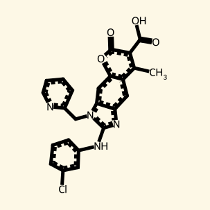 Cc1c(C(=O)O)c(=O)oc2cc3c(cc12)nc(Nc1cccc(Cl)c1)n3Cc1ccccn1